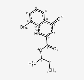 CCC(C)OC(=O)c1cc(=O)c2cccc(Br)c2[nH]1